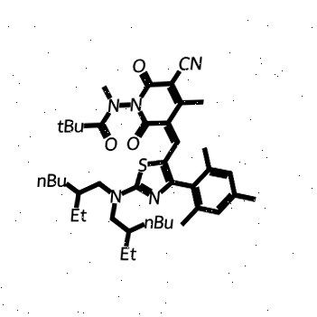 CCCCC(CC)CN(CC(CC)CCCC)c1nc(-c2c(C)cc(C)cc2C)c(/C=C2\C(=O)N(N(C)C(=O)C(C)(C)C)C(=O)C(C#N)=C2C)s1